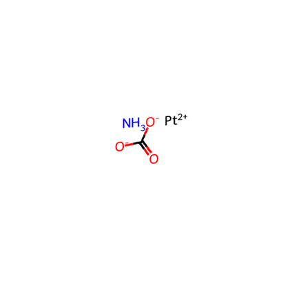 N.O=C([O-])[O-].[Pt+2]